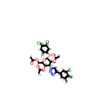 CC(=O)OCC1O[C@H](Sc2cc(Cl)c(Cl)cc2F)C(OC(C)=O)C(n2cc(-c3cc(F)c(F)c(F)c3)nn2)[C@H]1OC(C)=O